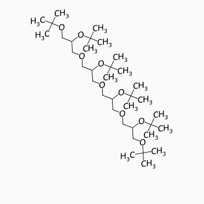 CC(C)(C)OCC(COCC(COCC(COCC(COC(C)(C)C)OC(C)(C)C)OC(C)(C)C)OC(C)(C)C)OC(C)(C)C